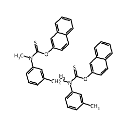 Cc1cccc(N(C)C(=S)Oc2ccc3ccccc3c2)c1.Cc1cccc(N(C)C(=S)Oc2ccc3ccccc3c2)c1